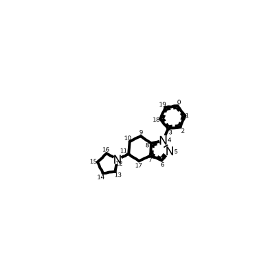 c1ccc(-n2ncc3c2CCC(N2CCCC2)C3)cc1